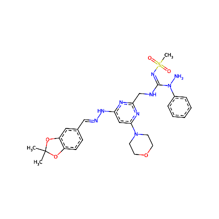 CC1(C)Oc2ccc(C=NNc3cc(N4CCOCC4)nc(CNC(=NS(C)(=O)=O)N(N)c4ccccc4)n3)cc2O1